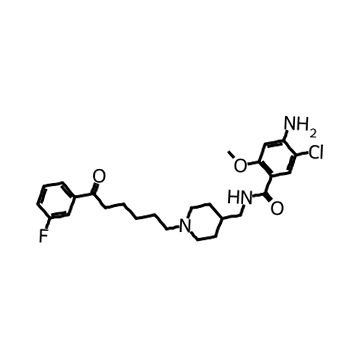 COc1cc(N)c(Cl)cc1C(=O)NCC1CCN(CCCCCC(=O)c2cccc(F)c2)CC1